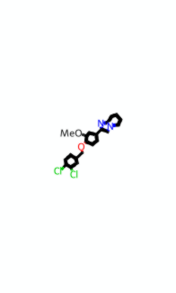 COc1cc(-c2cn3ccccc3n2)ccc1OCc1ccc(Cl)c(Cl)c1